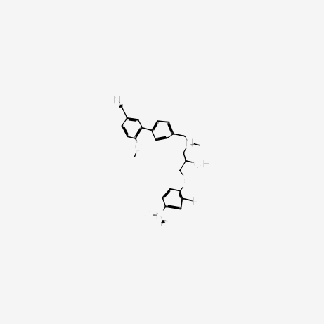 COc1ccc(C#N)cc1-c1ccc(CN(C)CC(O)COc2ccc([N+](=O)[O-])cc2F)cc1